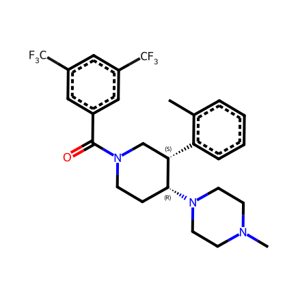 Cc1ccccc1[C@H]1CN(C(=O)c2cc(C(F)(F)F)cc(C(F)(F)F)c2)CC[C@H]1N1CCN(C)CC1